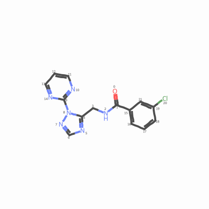 O=C(NCc1ncnn1-c1ncccn1)c1cccc(Cl)c1